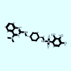 CN(C)c1nc(NC[C@H]2CC[C@H](CNS(=O)(=O)c3ccc(Cl)c(Cl)c3Cl)CC2)nc2ccccc12